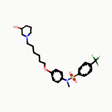 CN(c1ccc(OCCCCCCN2CCCC(O)C2)cc1)S(=O)(=O)c1ccc(C(F)(F)F)cc1